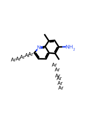 Cc1c(N)cc(C)c2ncccc12.[Ar].[Ar].[Ar].[Ar].[Ar].[Ar].[Ar].[Ar].[Ar].[Ar].[Ar]